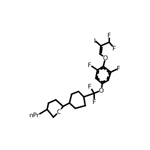 CCCC1CCC(C2CCC(C(F)(F)Oc3cc(F)c(O/C=C(/I)C(F)F)c(F)c3)CC2)CC1